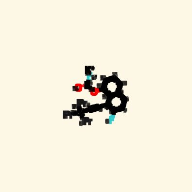 CC(C)[Si](C#Cc1c(F)ccc2cccc(OB([O-])F)c12)(C(C)C)C(C)C.[K+]